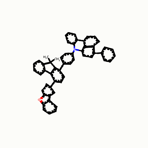 CC1(C)c2ccccc2-c2c(-c3ccc4oc5ccccc5c4c3)ccc(-c3ccc(N(c4ccc(-c5ccccc5)cc4)c4ccccc4-c4ccccc4)cc3)c21